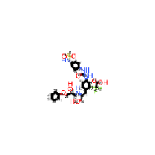 CS(=O)(=O)Nc1ccc(NC(=O)Nc2ccc(C[C@@H](CO)NC[C@H](O)COc3ccccc3)cc2)cc1.O=C(O)C(F)(F)F